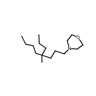 CCCCC(C)(CCC)CCCN1CCOCC1